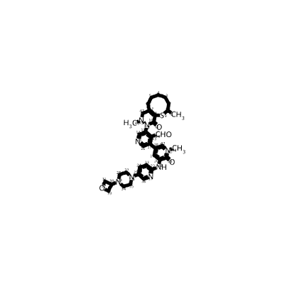 CC1CCCCCC2=C(S1)C(=O)N(c1cncc(-c3cc(Nc4ccc(N5CCN(C6COC6)CC5)cn4)c(=O)n(C)c3)c1C=O)N(C)C2